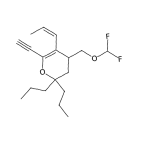 C#CC1=C(/C=C\C)C(COC(F)F)CC(CCC)(CCC)O1